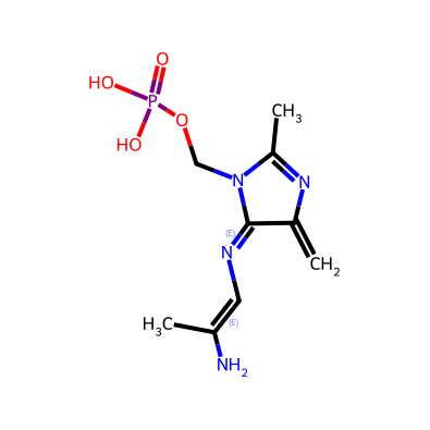 C=C1N=C(C)N(COP(=O)(O)O)/C1=N/C=C(\C)N